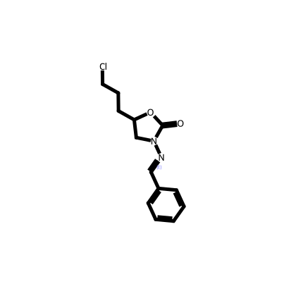 O=C1OC(CCCCl)CN1/N=C/c1ccccc1